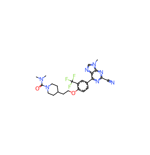 CN(C)C(=O)N1CCC(CCOc2ccc(-c3nc(C#N)nc4c3ncn4C)cc2C(F)(F)F)CC1